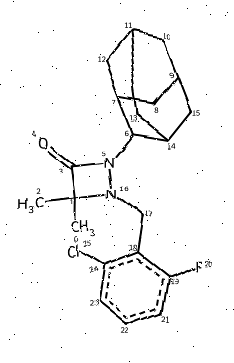 CC1(C)C(=O)N(C2C3CC4CC(C3)CC2C4)N1Cc1c(F)cccc1Cl